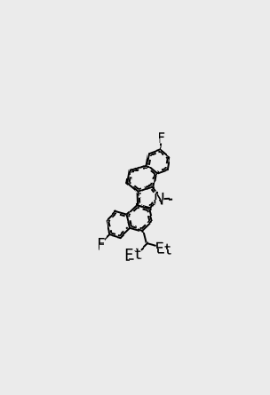 CCC(CC)c1cc2c(c3ccc(F)cc13)c1ccc3cc(F)ccc3c1n2C